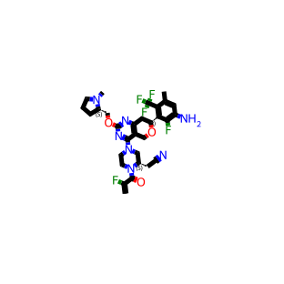 C=C(F)C(=O)N1CCN(c2nc(OC[C@@H]3CCCN3C)nc3c2CO[C@@H](c2c(F)c(N)cc(C)c2C(F)(F)F)C3)C[C@@H]1CC#N